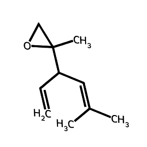 C=CC(C=C(C)C)C1(C)CO1